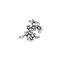 CC[C@H](C)[C@H](NC(=O)[C@H]1CCCN1C(=O)[C@H](CC(C)C)NC(=O)[C@H]1CCCN1)C(=O)N1CCC[C@@H]1C(=O)O